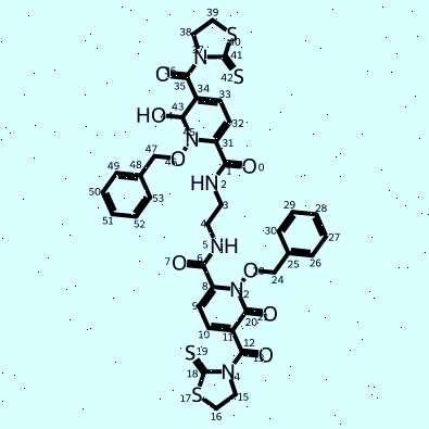 O=C(NCCNC(=O)c1ccc(C(=O)N2CCSC2=S)c(=O)n1OCc1ccccc1)C1=CC=C(C(=O)N2CCSC2=S)C(O)N1OCc1ccccc1